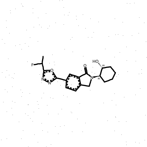 CC(F)c1nnc(-c2ccc3c(c2)C(=O)N([C@@H]2CCCC[C@H]2O)C3)o1